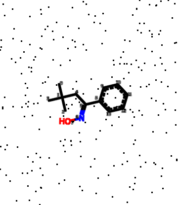 CC(C)(C)CC(=NO)c1ccccc1